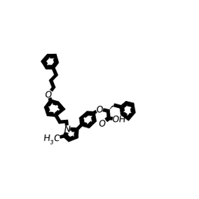 Cc1ccc(-c2ccc(O[C@H](Cc3ccccc3)C(=O)O)cc2)n1CCc1ccc(OCCCc2ccccc2)cc1